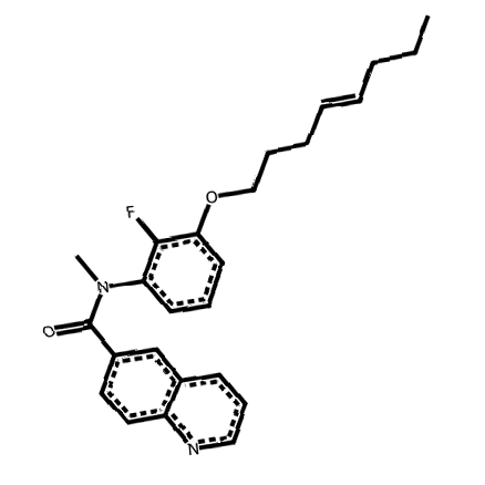 CCCC=CCCCOc1cccc(N(C)C(=O)c2ccc3ncccc3c2)c1F